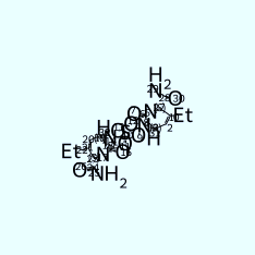 CCC1=C[C@@H]2CN(C(=O)N2OS(=O)(=O)ON2C(=O)N3C[C@H]2C=C(CC)[C@H]3C(N)=O)[C@@H]1C(N)=O